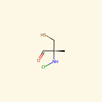 C[C@@](C=O)(CS)NCl